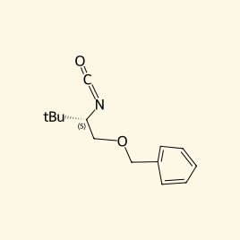 CC(C)(C)[C@@H](COCc1ccccc1)N=C=O